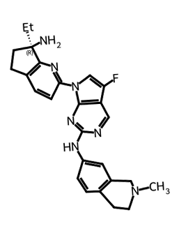 CC[C@@]1(N)CCc2ccc(-n3cc(F)c4cnc(Nc5ccc6c(c5)CN(C)CC6)nc43)nc21